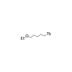 CCOCCCC[CH2][Tb]